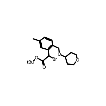 Cc1ccc(COC2CCOCC2)c(C(Br)C(=O)OC(C)(C)C)c1